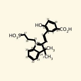 CC1(C)C(/C=C/c2cc(C(=O)O)ccc2O)=[N+](CCCS(=O)(=O)O)c2ccccc21